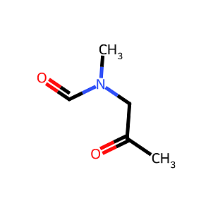 CC(=O)CN(C)C=O